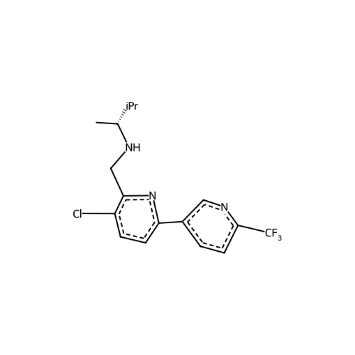 CC(C)[C@@H](C)NCc1nc(-c2ccc(C(F)(F)F)nc2)ccc1Cl